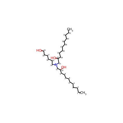 CCCCCCCCCCC(O)CN(CCCCCCO)CC(O)CCCCCCCCCC